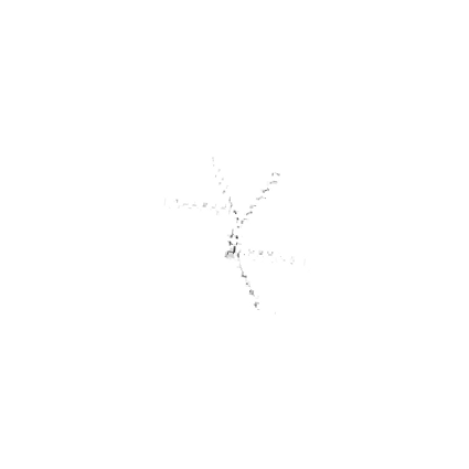 CCCCCCCCCCCCN(CCCCCCCCCCCC)CCN(CCCCCCCCCCCC)CCN1CCN([C@@H](C=O)N(CCCCCCCCCCCC)CCCCCCCCCCCC)CC1